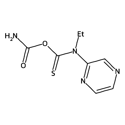 CCN(C(=S)OC(N)=O)c1cnccn1